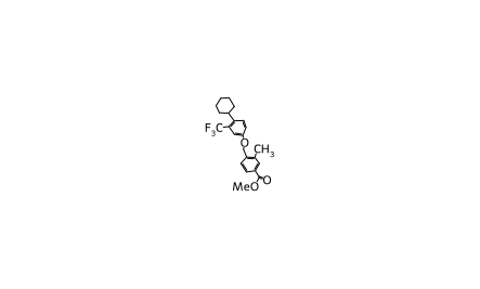 COC(=O)c1ccc(COc2ccc(C3CCCCC3)c(C(F)(F)F)c2)c(C)c1